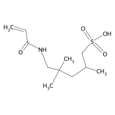 C=CC(=O)NCC(C)(C)CC(C)CS(=O)(=O)O